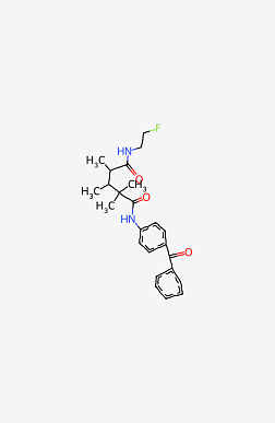 CC(C(=O)NCCF)C(C)C(C)(C)C(=O)Nc1ccc(C(=O)c2ccccc2)cc1